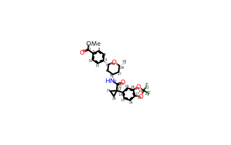 COC(=O)c1ccc([C@H]2C[C@@H](NC(=O)C3(c4ccc5c(c4)OC(F)(F)O5)CC3)C[C@@H](C)O2)cc1